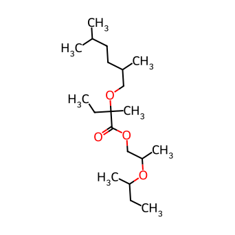 CCC(C)OC(C)COC(=O)C(C)(CC)OCC(C)CCC(C)C